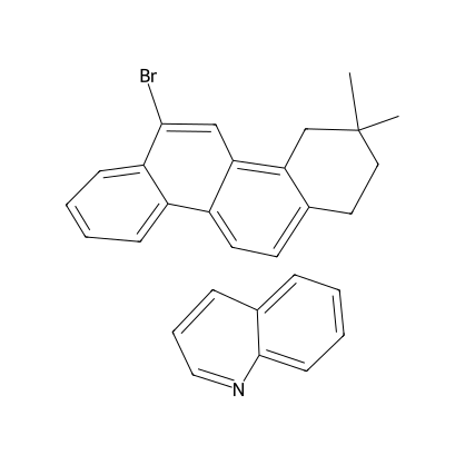 CC1(C)CCc2ccc3c(cc(Br)c4ccccc43)c2C1.c1ccc2ncccc2c1